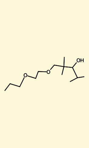 CCCOCCOCC(C)(C)C(O)C(C)C